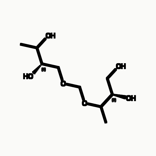 CC(OCOC[C@H](O)C(C)O)[C@H](O)CO